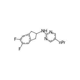 CCCc1cnc(NC2Cc3cc(F)c(F)cc3C2)nc1